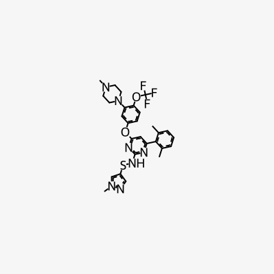 Cc1cccc(C)c1-c1cc(Oc2ccc(OC(F)(F)F)c(N3CCN(C)CC3)c2)nc(NSc2cnn(C)c2)n1